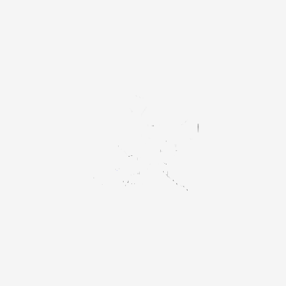 COC(=O)/C(C(=O)[C@@H]1O[C@H](CN=[N+]=[N-])[C@@H](OC(=O)c2ccccc2)[C@H]1OC(=O)c1ccccc1)=C(/C)C(=O)O